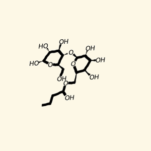 CCCC(O)OC[C@H]1O[C@@H](O[C@H]2[C@H](O)[C@@H](O)[C@@H](O)O[C@@H]2CO)[C@H](O)[C@@H](O)[C@H]1O